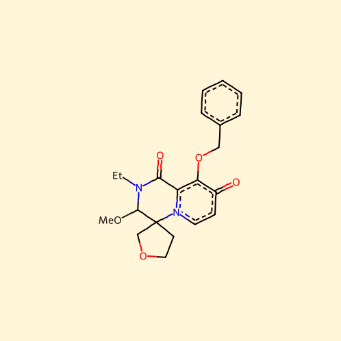 CCN1C(=O)c2c(OCc3ccccc3)c(=O)ccn2C2(CCOC2)C1OC